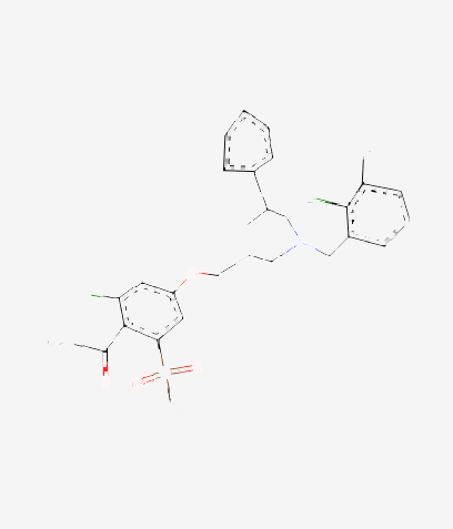 COC(=O)c1c(F)cc(OCCCN(Cc2cccc(C(F)(F)F)c2Cl)CC(C)c2ccccc2)cc1S(C)(=O)=O